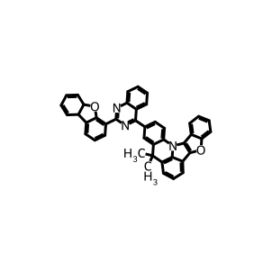 CC1(C)c2cc(-c3nc(-c4cccc5c4OC4C=CC=CC54)nc4ccccc34)ccc2-n2c3c1cccc3c1oc3ccccc3c12